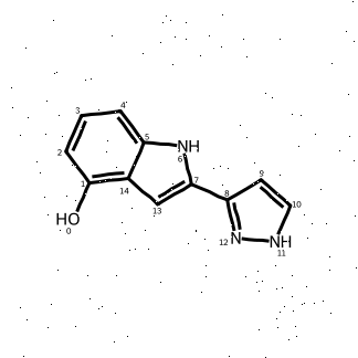 Oc1cccc2[nH]c(-c3cc[nH]n3)cc12